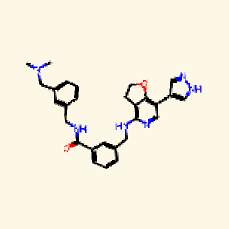 CN(C)Cc1cccc(CNC(=O)c2cccc(CNc3ncc(-c4cn[nH]c4)c4c3CCO4)c2)c1